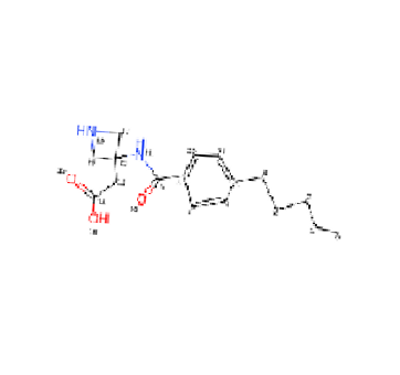 CCCCCc1ccc(C(=O)NC2(CC(=O)O)CNC2)cc1